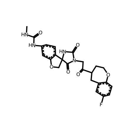 CNC(=O)Nc1ccc2c(c1)OCC21NC(=O)N(CC(=O)C2CCOc3ccc(F)cc3C2)C1=O